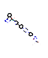 CC[C@@H]([C@H](C)O)n1ncn(-c2ccc(N3CCN(c4ccc(-c5ccc(C(F)(F)C6(O)Cn7ncnc7-c7cc(F)ccc76)nc5)cc4)CC3)cc2)c1=O